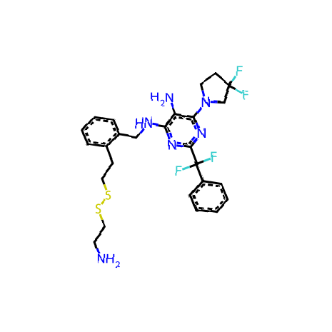 NCCSSCCc1ccccc1CNc1nc(C(F)(F)c2ccccc2)nc(N2CCC(F)(F)C2)c1N